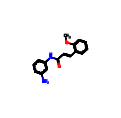 COc1ccccc1C=CC(=O)Nc1cccc(N)c1